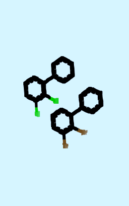 Brc1cccc(-c2ccccc2)c1Br.Clc1cccc(-c2ccccc2)c1Cl